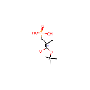 CO/C(O[Si](C)(C)C)=C(/C)CP(=O)(O)O